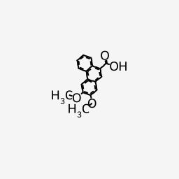 COc1cc2cc(C(=O)O)c3ccccc3c2cc1OC